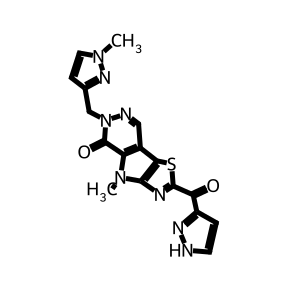 Cn1ccc(Cn2ncc3c4sc(C(=O)c5cc[nH]n5)nc4n(C)c3c2=O)n1